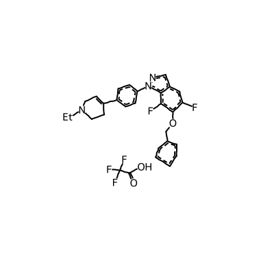 CCN1CC=C(c2ccc(-n3ncc4cc(F)c(OCc5ccccc5)c(F)c43)cc2)CC1.O=C(O)C(F)(F)F